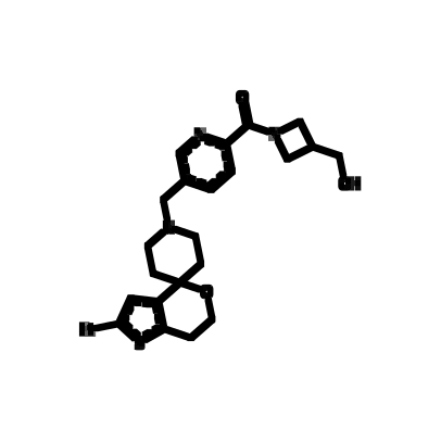 CCc1cc2c(s1)CCOC21CCN(Cc2ccc(C(=O)N3CC(CO)C3)nc2)CC1